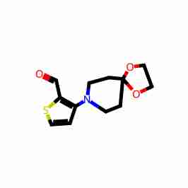 O=Cc1sccc1N1CCC2(CC1)OCCO2